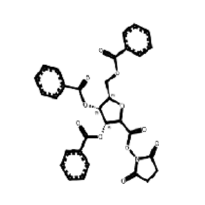 O=C(OC[C@H]1OC(C(=O)ON2C(=O)CCC2=O)[C@H](OC(=O)c2ccccc2)[C@@H]1OC(=O)c1ccccc1)c1ccccc1